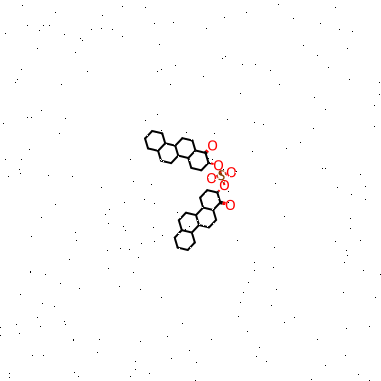 O=C1C(OS(=O)(=O)OC2CCC3C(CCC4C5CCCCC5CCC34)C2=O)CCC2C1CCC1C3CCCCC3CCC21